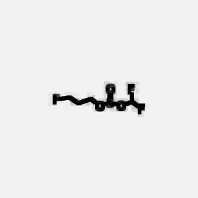 O=S(OCCCF)OC(F)F